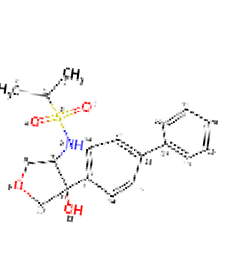 CC(C)S(=O)(=O)NC1COCC1(O)c1ccc(-c2ccccc2)cc1